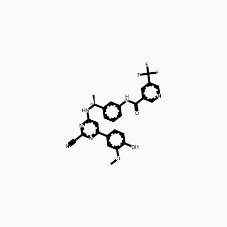 COc1cc(-c2cc(N[C@@H](C)c3cccc(NC(=O)c4cncc(C(F)(F)F)c4)c3)nc(C#N)n2)ccc1O